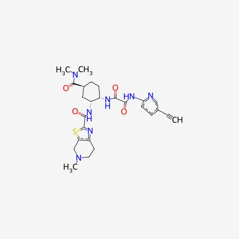 C#Cc1ccc(NC(=O)C(=O)N[C@H]2CC[C@H](C(=O)N(C)C)C[C@H]2NC(=O)c2nc3c(s2)CN(C)CC3)nc1